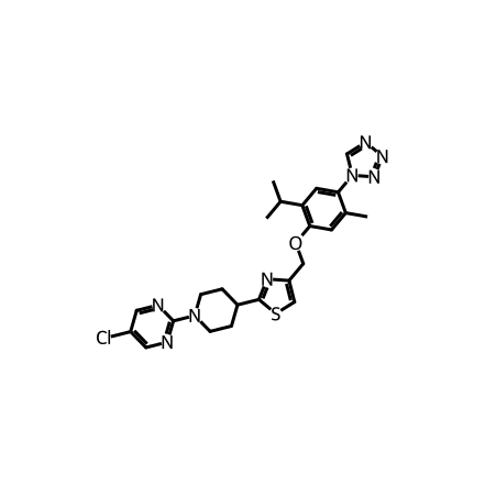 Cc1cc(OCc2csc(C3CCN(c4ncc(Cl)cn4)CC3)n2)c(C(C)C)cc1-n1cnnn1